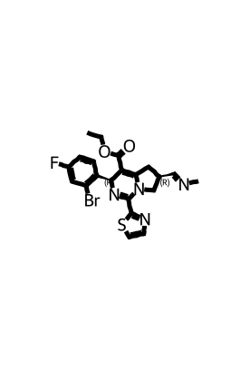 CCOC(=O)C1=C2C[C@@H](C=NC)CN2C(c2nccs2)=N[C@H]1c1ccc(F)cc1Br